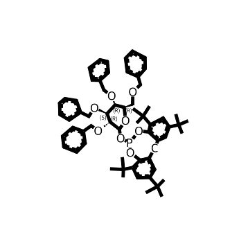 CC(C)(C)c1cc2c(c(C(C)(C)C)c1)OP(OC1O[C@H](COCc3ccccc3)[C@@H](OCc3ccccc3)[C@H](OCc3ccccc3)[C@H]1OCc1ccccc1)Oc1c(cc(C(C)(C)C)cc1C(C)(C)C)C2